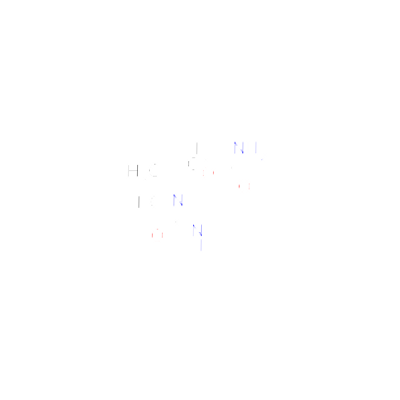 CC(C)[N+]1(C)C(=O)NCC1OC(N)=O